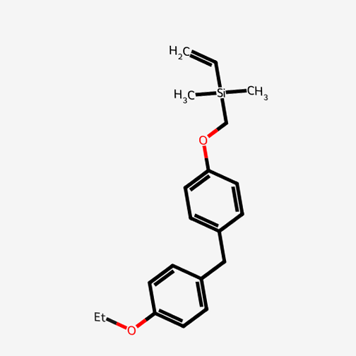 C=C[Si](C)(C)COc1ccc(Cc2ccc(OCC)cc2)cc1